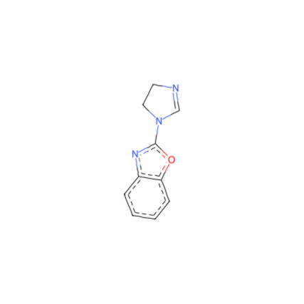 C1=NCCN1c1nc2ccccc2o1